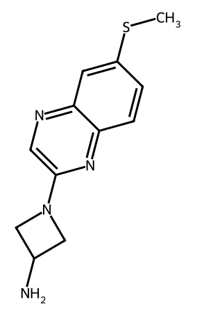 CSc1ccc2nc(N3CC(N)C3)cnc2c1